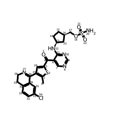 Cc1sc(C(=O)c2cncnc2N[C@H]2CC[C@@H](COS(N)(=O)=O)C2)cc1C1=NCCc2ccc(Cl)cc21